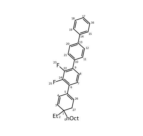 CCCCCCCCC1(CC)C=CC(c2ccc(-c3ccc(-c4ccccc4)cc3)c(F)c2F)=CC1